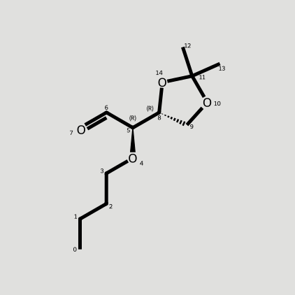 CCCCO[C@@H](C=O)[C@H]1COC(C)(C)O1